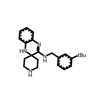 CC(C)(C)c1cccc(CNC2=Nc3ccccc3NC23CCNCC3)c1